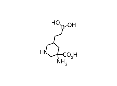 NC1(C(=O)O)CNCC(CCB(O)O)C1